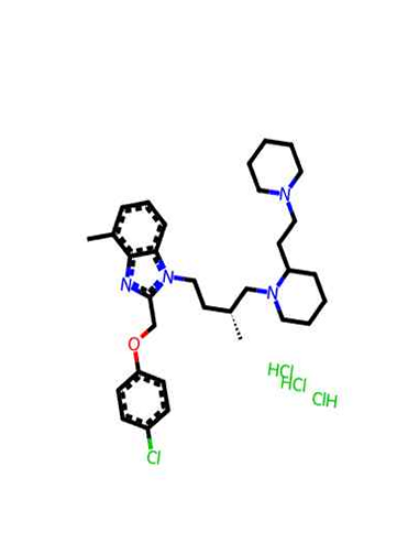 Cc1cccc2c1nc(COc1ccc(Cl)cc1)n2CC[C@@H](C)CN1CCCCC1CCN1CCCCC1.Cl.Cl.Cl